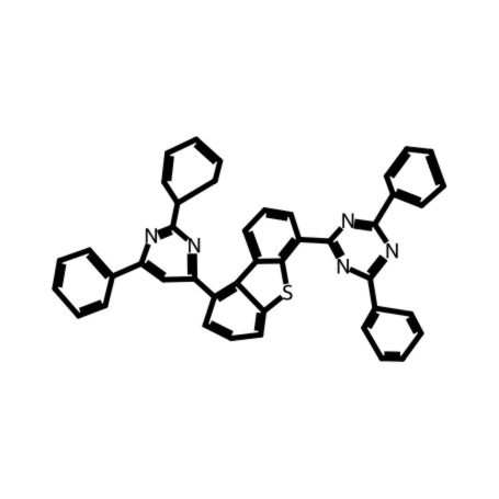 C1=CCC(c2nc(-c3ccccc3)cc(-c3cccc4sc5c(-c6nc(-c7ccccc7)nc(-c7ccccc7)n6)cccc5c34)n2)C=C1